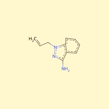 C=CCn1nc(N)c2ccccc21